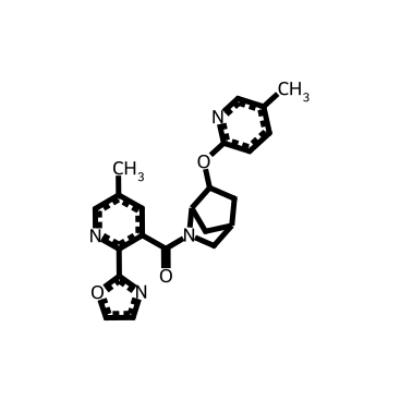 Cc1ccc(OC2CC3CC2N(C(=O)c2cc(C)cnc2-c2ncco2)C3)nc1